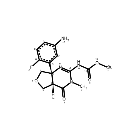 CN1C(=O)[C@@H]2COC[C@]2(c2cc(N)ccc2F)N=C1NC(=O)OC(C)(C)C